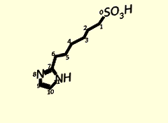 O=S(=O)(O)CCCCCCc1ncc[nH]1